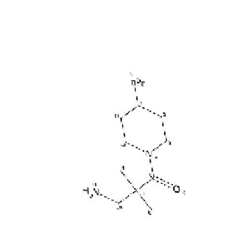 CCCC1CCN(C(=O)C(C)(C)CN)CC1